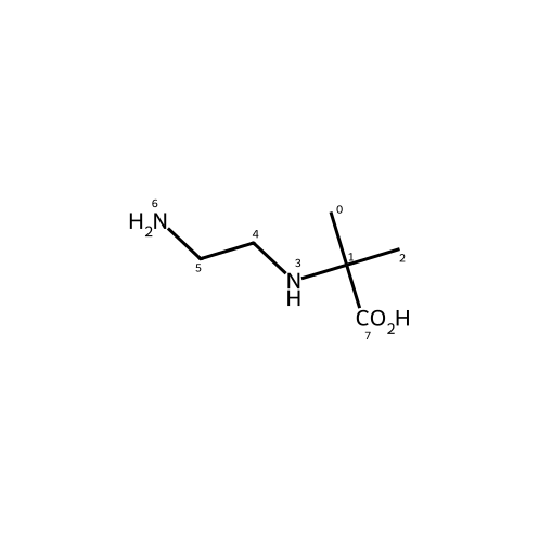 CC(C)(NCCN)C(=O)O